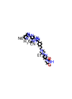 CCC1CN(CCC2CCC(c3cn(-c4cnc(-n5ncc6cc(C#N)cnc65)cc4N[C@H](C)C#N)nn3)CC2)CCN1c1ccc(N2CCC(=O)NC2=O)cn1